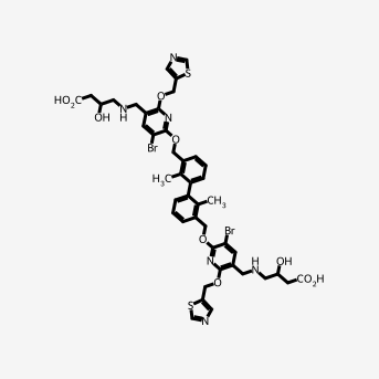 Cc1c(COc2nc(OCc3cncs3)c(CNCC(O)CC(=O)O)cc2Br)cccc1-c1cccc(COc2nc(OCc3cncs3)c(CNCC(O)CC(=O)O)cc2Br)c1C